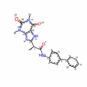 CC(C(=O)Nc1ccc(-c2ccccc2)cc1)c1nc2c([nH]1)c(=O)n(C)c(=O)n2C